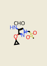 CS(=O)(=O)Cn1cc(NC=O)c(OC2CC2)n1